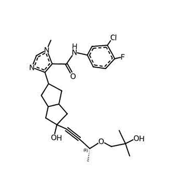 C[C@H](C#CC1(O)CC2CC(c3ncn(C)c3C(=O)Nc3ccc(F)c(Cl)c3)CC2C1)OCC(C)(C)O